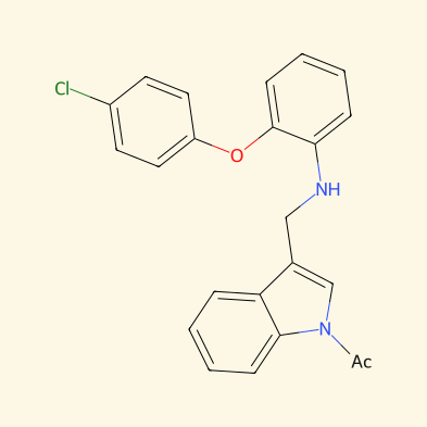 CC(=O)n1cc(CNc2ccccc2Oc2ccc(Cl)cc2)c2ccccc21